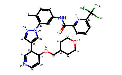 Cc1ccc(NC(=O)c2cccc(C(F)(F)F)n2)cc1-n1cc(C2C=NC=CC2OCC2CCOCC2)cn1